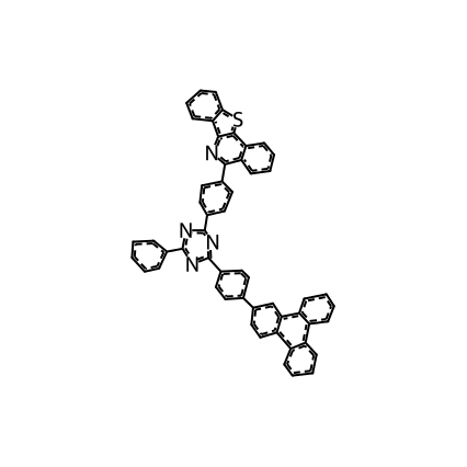 c1ccc(-c2nc(-c3ccc(-c4ccc5c6ccccc6c6ccccc6c5c4)cc3)nc(-c3ccc(-c4nc5c6ccccc6sc5c5ccccc45)cc3)n2)cc1